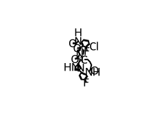 O=C1CCCC[C@H](C(=O)N2CC[C@@]3(C2)OC(=O)Nc2ccc(Cl)c(F)c23)c2nc(c[nH]2)-c2ccc(F)cc2N1